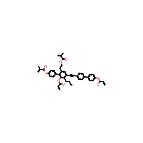 C=CC(=O)Oc1ccc(-c2ccc(C#Cc3cc(CCOC(=O)C(=C)C)c(-c4ccc(OC(=O)C(=C)C)cc4)c(OC(=O)C=C)c3CCCF)cc2)cc1